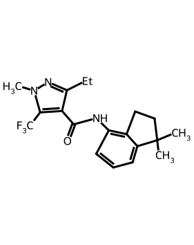 CCc1nn(C)c(C(F)(F)F)c1C(=O)Nc1cccc2c1CCC2(C)C